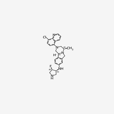 C[C@@H]1CN(c2ccc(Cl)c3ncccc23)C[C@@H]2c3ccc(N[C@H]4CNC[C@H]4F)cc3CN12